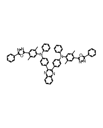 Cc1cc(N(c2ccccc2)c2ccc(-c3nc4ccccc4nc3-c3ccc(N(c4ccccc4)c4cc(C)c(-c5nnc(-c6ccccc6)o5)cc4C)cc3)cc2)c(C)cc1-c1nnc(-c2ccccc2)o1